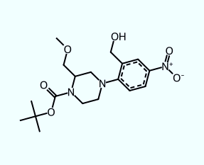 COCC1CN(c2ccc([N+](=O)[O-])cc2CO)CCN1C(=O)OC(C)(C)C